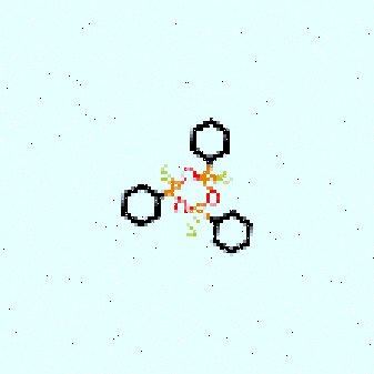 S=P1(C2CCCCC2)OP(=S)(C2CCCCC2)OP(=S)(C2CCCCC2)O1